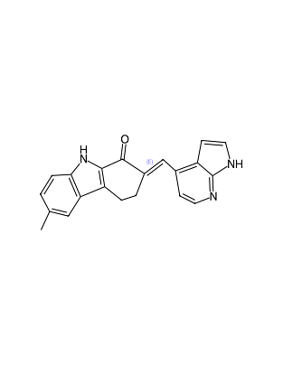 Cc1ccc2[nH]c3c(c2c1)CC/C(=C\c1ccnc2[nH]ccc12)C3=O